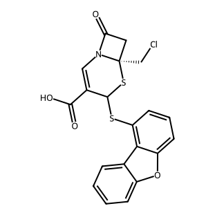 O=C(O)C1=CN2C(=O)C[C@@]2(CCl)SC1Sc1cccc2oc3ccccc3c12